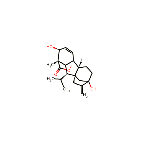 C=C1C[C@]23CC1(O)CC[C@H]2[C@@]12C=C[C@H](O)[C@@](C)(C(=O)O1)C2[C@@H]3C(C)C